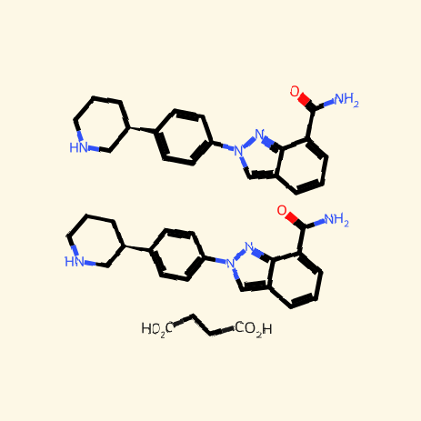 NC(=O)c1cccc2cn(-c3ccc([C@@H]4CCCNC4)cc3)nc12.NC(=O)c1cccc2cn(-c3ccc([C@@H]4CCCNC4)cc3)nc12.O=C(O)CCC(=O)O